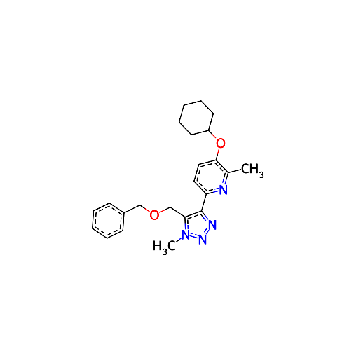 Cc1nc(-c2nnn(C)c2COCc2ccccc2)ccc1OC1CCCCC1